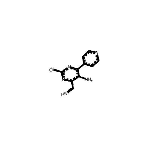 N=Cc1nc(Cl)nc(-c2ccncc2)c1N